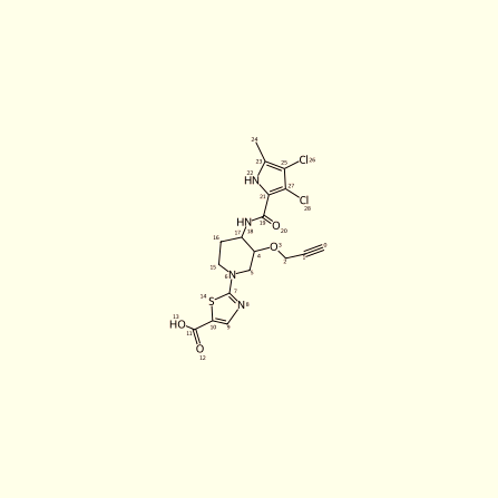 C#CCOC1CN(c2ncc(C(=O)O)s2)CCC1NC(=O)c1[nH]c(C)c(Cl)c1Cl